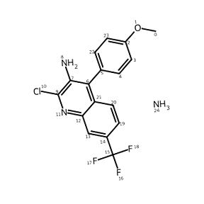 COc1ccc(-c2c(N)c(Cl)nc3cc(C(F)(F)F)ccc23)cc1.N